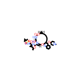 C=CC1C[C@]1(NC(=O)[C@@H]1C[C@@H]2CN1C(=O)[C@H](C)NC(=O)O[C@@H]1C[C@H]1CCCCCc1c(nc3ccccc3c1OC1CCN(C)CC1)O2)C(=O)NS(=O)(=O)C1(C)CC1